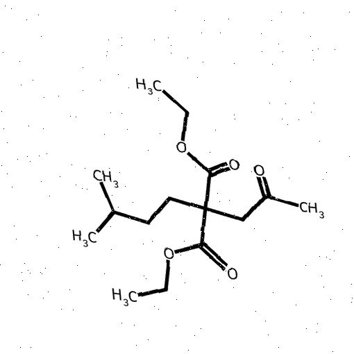 CCOC(=O)C(CCC(C)C)(CC(C)=O)C(=O)OCC